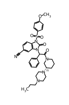 CCCN1CCN([C@H]2CCCN(C(=O)C(c3ccccc3)n3c(=O)n(S(=O)(=O)c4ccc(OC)cc4)c4ccc(C#N)cc43)C2)CC1